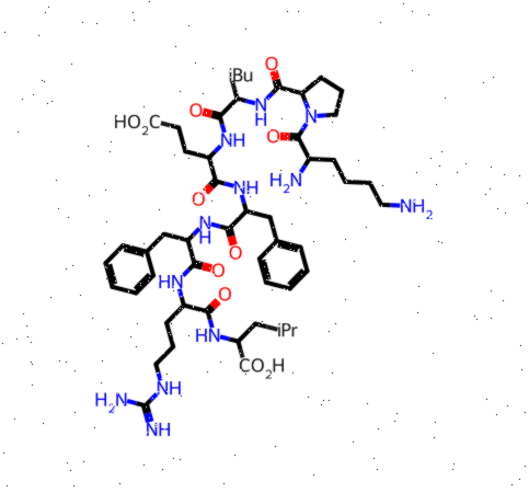 CCC(C)C(NC(=O)C1CCCN1C(=O)C(N)CCCCN)C(=O)NC(CCC(=O)O)C(=O)NC(Cc1ccccc1)C(=O)NC(Cc1ccccc1)C(=O)NC(CCCNC(=N)N)C(=O)NC(CC(C)C)C(=O)O